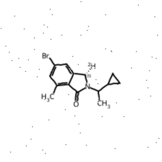 [2H][C@H]1c2cc(Br)cc(C)c2C(=O)N1C(C)C1CC1